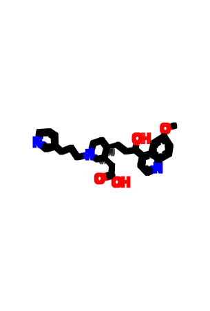 COc1ccc2nccc(C(O)CC[C@@H]3CCN(CCCc4cccnc4)C[C@@H]3CC(=O)O)c2c1